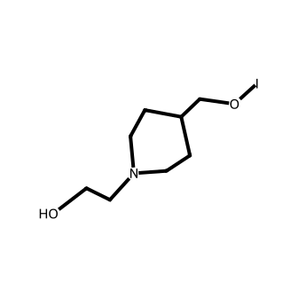 OCCN1CCC(COI)CC1